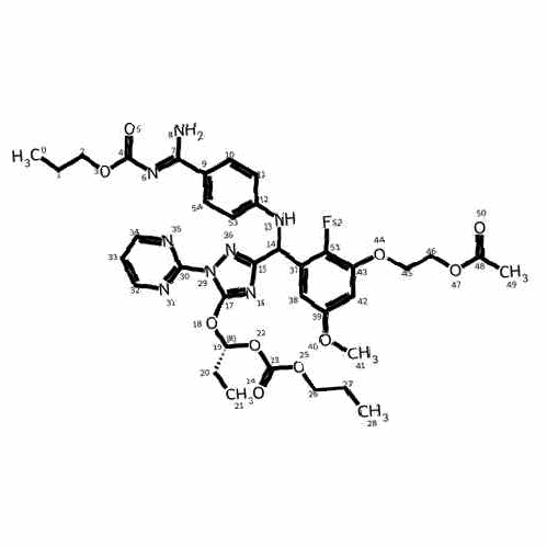 CCCOC(=O)N=C(N)c1ccc(NC(c2nc(O[C@@H](CC)OC(=O)OCCC)n(-c3ncccn3)n2)c2cc(OC)cc(OCCOC(C)=O)c2F)cc1